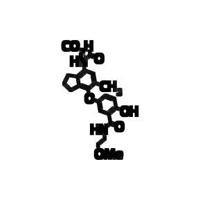 COCCNC(=O)c1cc(Oc2c(C)cc(NC(=O)C(=O)O)c3c2CCC3)ccc1O